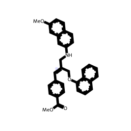 COC(=O)c1ccc(/C=C(/CNc2ccc3ccc(OC)cc3c2)COc2cccc3ccccc23)cc1